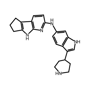 c1cc2c(C3CCNCC3)c[nH]c2cc1Nc1ccc2c3c([nH]c2n1)CCC3